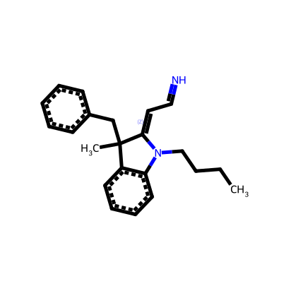 CCCCN1/C(=C\C=N)C(C)(Cc2ccccc2)c2ccccc21